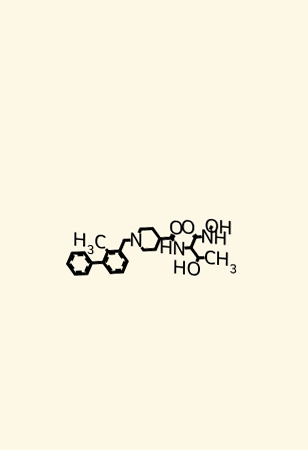 Cc1c(CN2CCC(C(=O)NC(C(=O)NO)C(C)O)CC2)cccc1-c1ccccc1